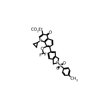 CCOC(=O)c1cn(C2CC2)c2c(OC(F)F)c(-c3ccc4c(c3)CN(S(=O)(=O)c3ccc(C)cc3)C4)ccc2c1=O